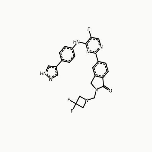 O=C1c2ccc(-c3ncc(F)c(Nc4ccc(-c5cn[nH]c5)cc4)n3)cc2CN1CN1CC(F)(F)C1